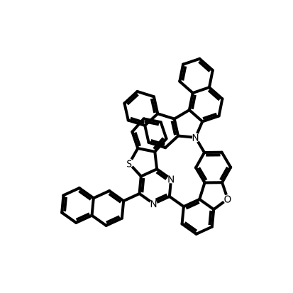 c1ccc2cc(-c3nc(-c4cccc5oc6ccc(-n7c8ccc9ccccc9c8c8c9ccccc9ccc87)cc6c45)nc4c3sc3ccccc34)ccc2c1